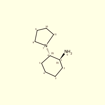 N[C@H]1CCCC[C@@H]1N1CCCC1